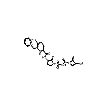 NC1CN(C(=O)NS(=O)(=O)N2CCN(NC(=O)C3=CCC(O)=C(C[n+]4ccccc4)N3)C2=O)C1=O